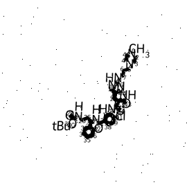 CN1CCN(CCCNc2ncc3cc(C(=O)Nc4cc(C(=O)NC(CCNC(=O)OC(C)(C)C)c5ccccc5)ccc4Cl)c(=O)[nH]c3n2)CC1